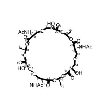 CC(=O)N[C@@H]1CCCN(O)C(=O)C[C@@H](C)OC(=O)[C@H](NC(C)=O)CCCN(O)C(=O)C[C@@H](C)OC(=O)[C@H](NC(C)=O)CCCN(O)C(=O)C[C@@H](C)OC1=O